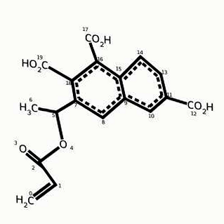 C=CC(=O)OC(C)c1cc2cc(C(=O)O)ccc2c(C(=O)O)c1C(=O)O